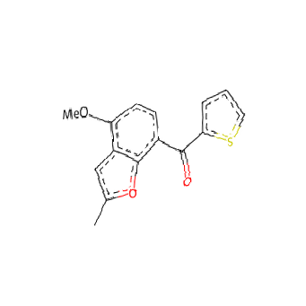 COc1ccc(C(=O)c2cccs2)c2oc(C)cc12